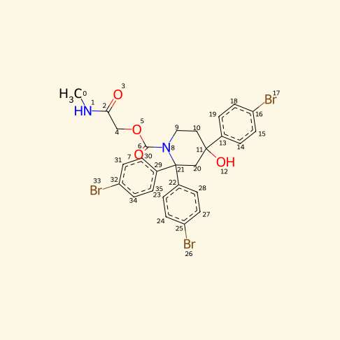 CNC(=O)COC(=O)N1CCC(O)(c2ccc(Br)cc2)CC1(c1ccc(Br)cc1)c1ccc(Br)cc1